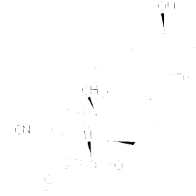 [C-]#[N+][C@@H]1C[C@]2(C)C3CCC4C(CC[C@@H]4O)C3CC[C@]23O[C@@H]3C1=O